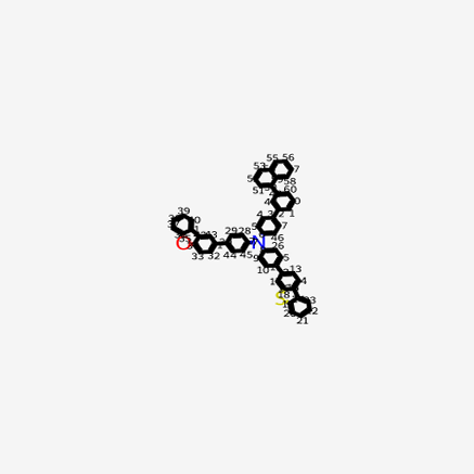 c1cc(-c2ccc(N(c3ccc(-c4ccc5c(c4)sc4ccccc45)cc3)c3ccc(-c4ccc5oc6ccccc6c5c4)cc3)cc2)cc(-c2cccc3ccccc23)c1